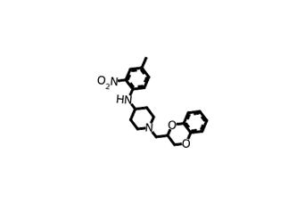 Cc1ccc(NC2CCN(CC3COc4ccccc4O3)CC2)c([N+](=O)[O-])c1